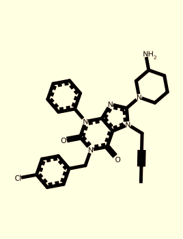 CC#CCn1c(N2CCCC(N)C2)nc2c1c(=O)n(Cc1ccc(Cl)cc1)c(=O)n2-c1ccccc1